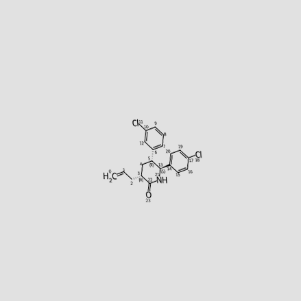 C=CC[C@@H]1C[C@H](c2cccc(Cl)c2)[C@@H](c2ccc(Cl)cc2)NC1=O